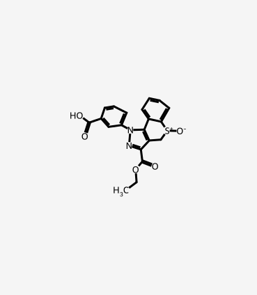 CCOC(=O)c1nn(-c2cccc(C(=O)O)c2)c2c1C[S+]([O-])c1ccccc1-2